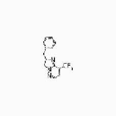 FC(F)(F)C1=CC=NN2CC(Cc3ccccc3)N=C12